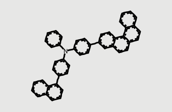 c1ccc(N(c2ccc(-c3ccc4c(ccc5ccc6ccccc6c54)c3)cc2)c2ccc(-c3cccc4ccccc34)cc2)cc1